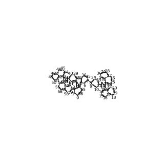 c1ccc(-n2c3cc(-c4ccc(N(c5cccc6ccccc56)c5cccc6ccccc56)cc4)ccc3c3ccc(N(c4cccc5ccccc45)c4cccc5ccccc45)cc32)cc1